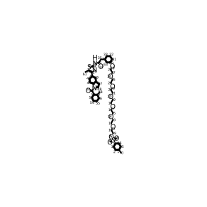 Cc1ccc(S(=O)(=O)OCCOCCOCCOCCOCCOCCOCCOc2cccc(CC(=O)Nc3nc(-c4ccc5c(ccn5C(=O)c5ccccc5C)c4)c(C)s3)c2)cc1